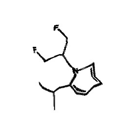 CC(C)c1cccn1C(CF)CF